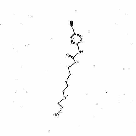 C#Cc1ccc(NC(=O)NCCOCCOCCO)cc1